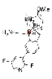 BC1(B)OC(N)=N[C@]12c1cc(-c3cc(F)cnc3F)ccc1C[C@@]21CC[C@H](OC)[C@@H](C)C1